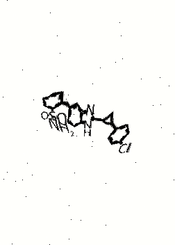 NS(=O)(=O)c1ccccc1-c1ccc2[nH]c(C3CC3c3ccc(Cl)cc3)nc2c1